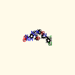 O=c1[nH]c(-c2ccc3c(c2)nc(CN2CCC(Oc4cccc(Cc5ccc(Cl)cc5F)n4)CC2)n3C[C@@H]2CCO2)no1